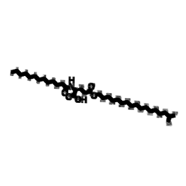 CCCCCCCCCCCCC(=O)N[C@@H](CCC(=O)OCCCCCCCCCCCCCCCC(C)C)C(=O)O